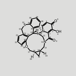 O=C1c2c(O)c(=O)ccn2N2CN1C[C@@H]1C[C@H]1COc1cccc3c1[C@@H]2c1ccccc1SC3